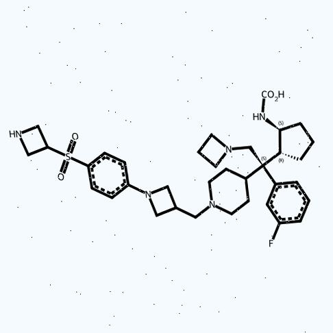 O=C(O)N[C@H]1CCC[C@@H]1[C@](CN1CCC1)(c1cccc(F)c1)C1CCN(CC2CN(c3ccc(S(=O)(=O)C4CNC4)cc3)C2)CC1